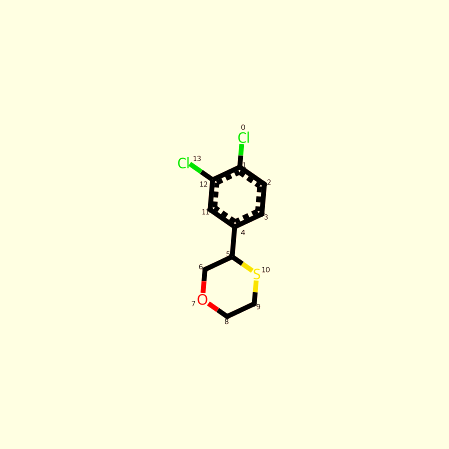 Clc1ccc(C2COCCS2)cc1Cl